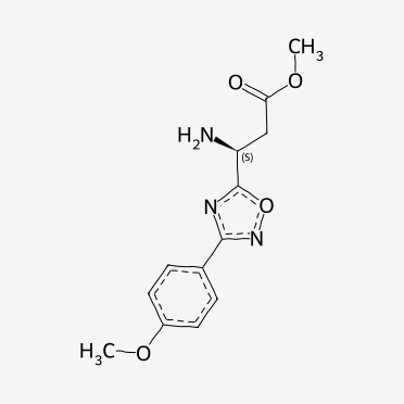 COC(=O)C[C@H](N)c1nc(-c2ccc(OC)cc2)no1